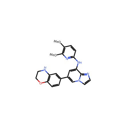 COc1ccc(Nc2cc(-c3ccc4c(c3)NCCO4)cn3ccnc23)nc1OC